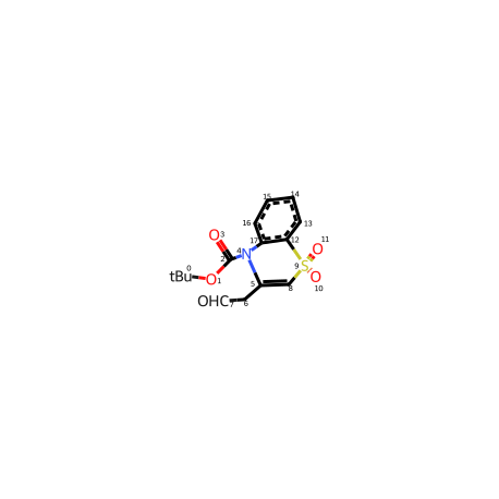 CC(C)(C)OC(=O)N1C(CC=O)=CS(=O)(=O)c2ccccc21